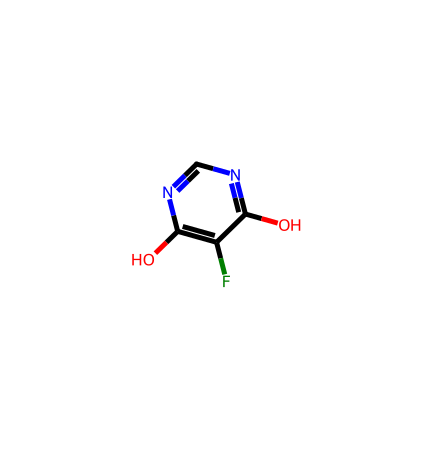 Oc1ncnc(O)c1F